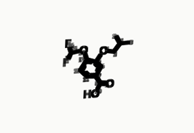 CC(C)COc1cc(C(=O)O)ccc1OC(F)F